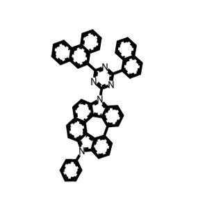 c1ccc(-n2c3cccc4c3c3c5c(ccc32)ccc2c5c3c-4cccc3n2-c2nc(-c3cccc4ccccc34)nc(-c3cc4ccccc4c4ccccc34)n2)cc1